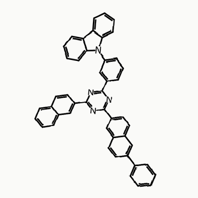 c1ccc(-c2ccc3cc(-c4nc(-c5cccc(-n6c7ccccc7c7ccccc76)c5)nc(-c5ccc6ccccc6c5)n4)ccc3c2)cc1